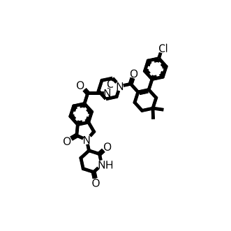 CC1(C)CCC(C(=O)N2CC3CCC2CN3C(=O)c2ccc3c(c2)CN(C2CCC(=O)NC2=O)C3=O)=C(c2ccc(Cl)cc2)C1